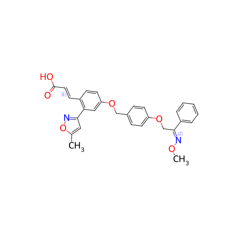 CO/N=C(\COc1ccc(COc2ccc(/C=C/C(=O)O)c(-c3cc(C)on3)c2)cc1)c1ccccc1